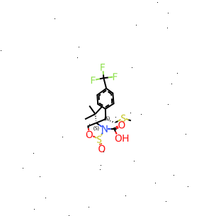 CSC[C@@H](c1ccc(C(F)(F)F)cc1)[C@]1(C(C)(C)C)COS(=O)N1C(=O)O